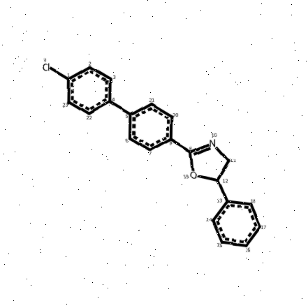 Clc1ccc(-c2ccc(C3=NCC(c4ccccc4)O3)cc2)cc1